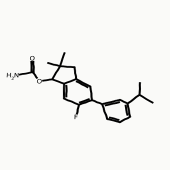 CC(C)c1cccc(-c2cc3c(cc2F)C(OC(N)=O)C(C)(C)C3)c1